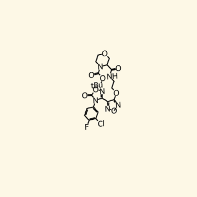 CC(C)(C)OC(=O)N1CCOCC1C(=O)NCCOc1nonc1-c1noc(=O)n1-c1ccc(F)c(Cl)c1